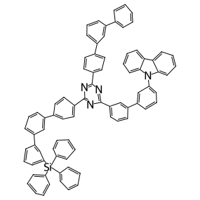 c1ccc(-c2cccc(-c3ccc(-c4nc(-c5ccc(-c6cccc(-c7cccc([Si](c8ccccc8)(c8ccccc8)c8ccccc8)c7)c6)cc5)nc(-c5cccc(-c6cccc(-n7c8ccccc8c8ccccc87)c6)c5)n4)cc3)c2)cc1